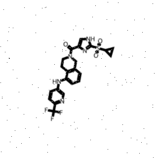 O=C(c1c[nH]c(S(=O)(=O)C2CC2)n1)N1CCc2c(cccc2Nc2ccc(C(F)(F)F)nc2)C1